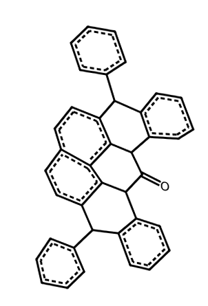 O=C1C2c3ccccc3C(c3ccccc3)c3ccc4ccc5c(c4c32)C1c1ccccc1C5c1ccccc1